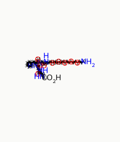 NCCOCCOCCOCCOCCOCCNC(=O)CNC(=O)C(Cc1ccccc1)NC(=O)CNC(=O)CNC(=O)O